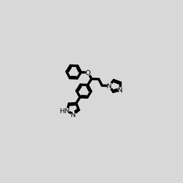 c1ccc(OC(CCn2ccnc2)c2ccc(-c3cn[nH]c3)cc2)cc1